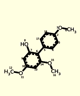 COc1[c]cc(-c2c(O)cc(OC)cc2OC)cc1